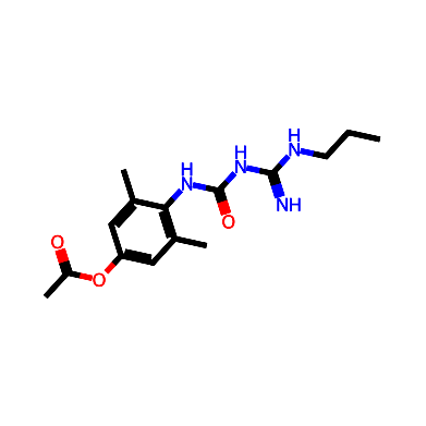 CCCNC(=N)NC(=O)Nc1c(C)cc(OC(C)=O)cc1C